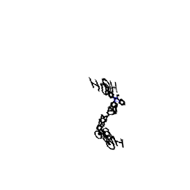 CC/C(=C(\c1ccc(B(O)O)cc1)c1ccc(N2CCC(CCN3CCN(c4ccc5c(c4)C(=O)N(C4CCC(=O)NC4=O)C5=O)CC3)CC2)cc1)c1ccccc1